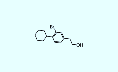 OCCc1ccc(C2CCCCC2)c(Br)c1